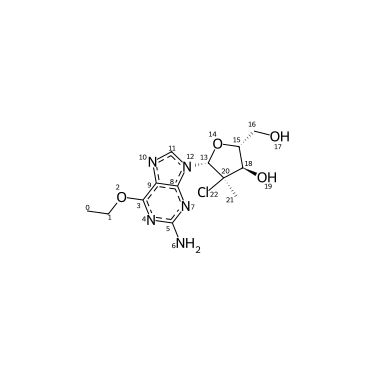 CCOc1nc(N)nc2c1ncn2[C@@H]1O[C@H](CO)[C@@H](O)[C@@]1(C)Cl